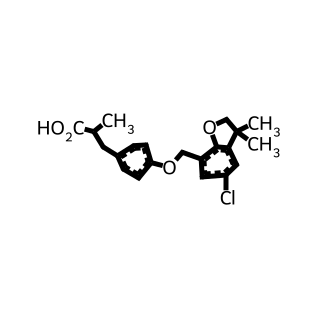 CC(Cc1ccc(OCc2cc(Cl)cc3c2OCC3(C)C)cc1)C(=O)O